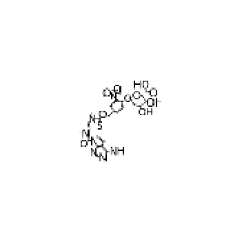 CNc1ncnc2c1ccn2C(=O)N(C)CCN(C)C(=S)OCc1ccc(O[C@H]2C[C@@H](O)[C@H](O)[C@@H](C(=O)O)O2)c([N+](=O)[O-])c1